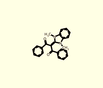 CN1C(=C(C(=O)c2ccccc2)C(=O)c2ccccc2)N(C)c2ccccc21